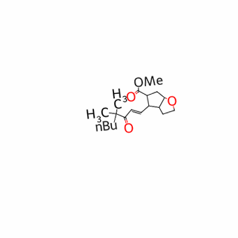 CCCCC(C)(C)C(=O)/C=C/C1C(C(=O)OC)CC2OCCC21